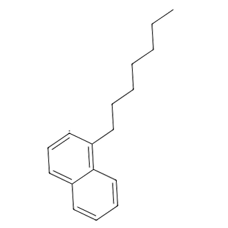 CCCCCCCc1[c]ccc2ccccc12